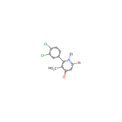 CCn1c(Br)cc(=O)c(C(=O)O)c1-c1ccc(Cl)c(Cl)c1